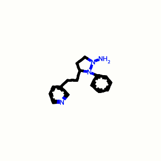 NN1CCC(CCc2cccnc2)N1c1ccccc1